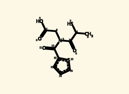 CC(S)C(=O)N(CC(=O)O)C(=O)c1cccs1